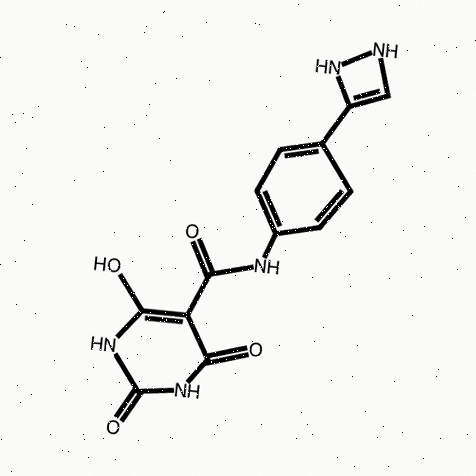 O=C(Nc1ccc(-c2c[nH][nH]2)cc1)c1c(O)[nH]c(=O)[nH]c1=O